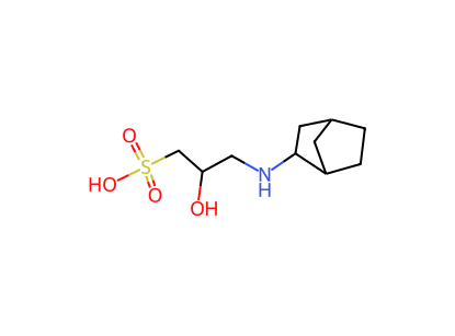 O=S(=O)(O)CC(O)CNC1CC2CCC1C2